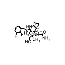 CC(C)(CO)NC1(NCC(N)=O)N=C(SCc2cccc(F)c2F)Nc2ncsc21